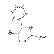 CCCCCC(=O)N[C@@H](c1ccccc1)[C@@H](O)C(=O)O